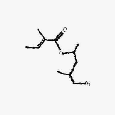 CC=C(C)C(=O)OC(C)CC(C)CC(C)C